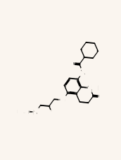 CC(C)(C)NCC(O)COc1ccc(NC(=O)C2CCCCC2)c2c1CCC(=O)N2